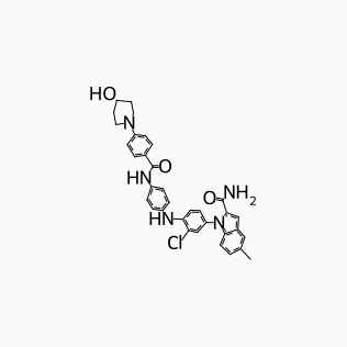 Cc1ccc2c(c1)cc(C(N)=O)n2-c1ccc(Nc2ccc(NC(=O)c3ccc(N4CCC(O)CC4)cc3)cc2)c(Cl)c1